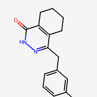 O=Nc1cccc(Cc2n[nH]c(=O)c3c2CCCC3)c1